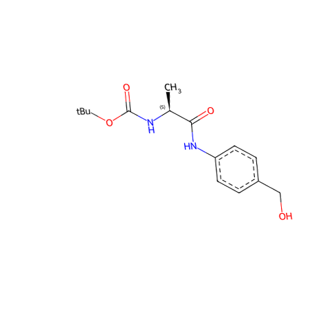 C[C@H](NC(=O)OC(C)(C)C)C(=O)Nc1ccc(CO)cc1